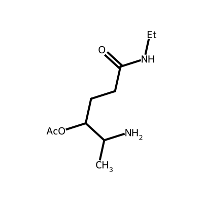 CCNC(=O)CCC(OC(C)=O)C(C)N